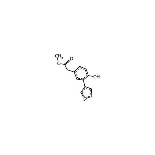 COC(=O)Cc1ccc(O)c(-c2ccsc2)c1